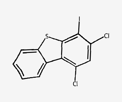 Clc1cc(Cl)c2c(sc3ccccc32)c1I